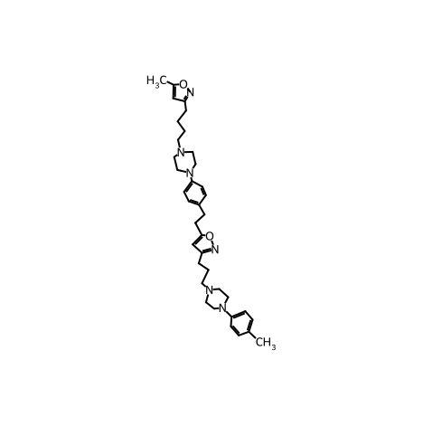 Cc1ccc(N2CCN(CCCc3cc(CCc4ccc(N5CCN(CCCCc6cc(C)on6)CC5)cc4)on3)CC2)cc1